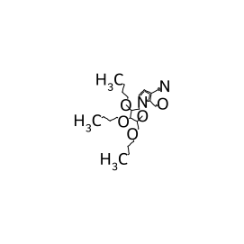 CCCCOCC1OC(n2ccc(C#N)c2C=O)C(OCCCC)C1OCCCC